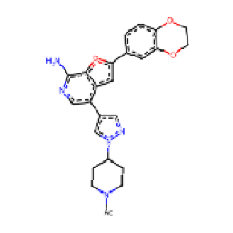 CC(=O)N1CCC(n2cc(-c3cnc(N)c4oc(-c5ccc6c(c5)OCCO6)cc34)cn2)CC1